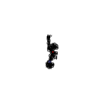 COC(=O)[C@H]1O[C@@H](Oc2ccc(C(=O)N(C)CCOCCOCCOCCN=[N+]=[N-])cc2OS(=O)(=O)Oc2cc3c(c4cc(OC)ccc24)[C@H](CCl)CN3C(=O)c2cc3cc(/C(C)=N/O[C@@H]4O[C@H](C(=O)OC)[C@@H](OC(C)=O)[C@H](OC(C)=O)[C@H]4OC(C)=O)ccc3[nH]2)[C@H](OC(C)=O)[C@@H](OC(C)=O)[C@@H]1C